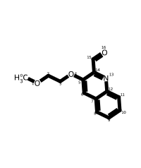 COCCOc1cc2ccccc2nc1C=O